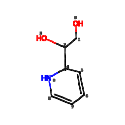 OCC(O)[C]1C=CC=CN1